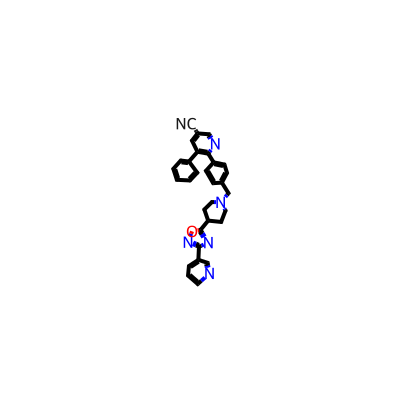 N#Cc1cnc(-c2ccc(CN3CCC(c4nc(-c5cccnc5)no4)CC3)cc2)c(-c2ccccc2)c1